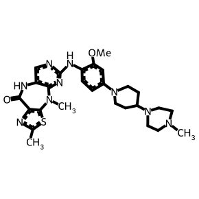 COc1cc(N2CCC(N3CCN(C)CC3)CC2)ccc1Nc1ncc2c(n1)N(C)c1sc(C)nc1C(=O)N2